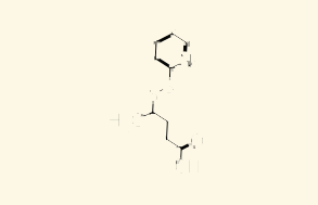 CC(=O)CCC(C)SSc1ccccn1